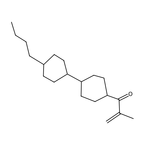 C=C(C)C(=O)C1CCC(C2CCC(CCCC)CC2)CC1